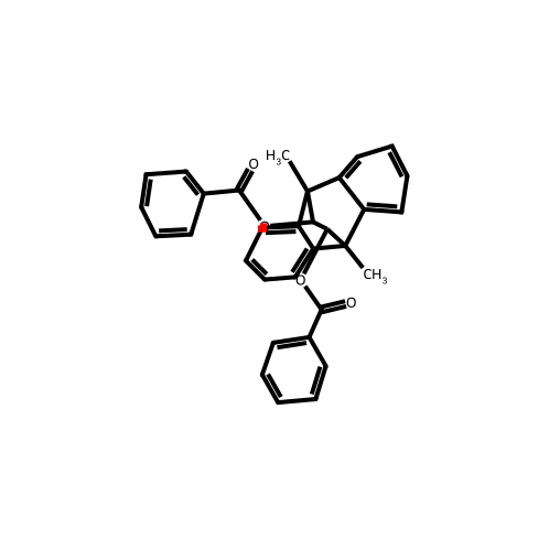 CC12c3ccccc3C(C)(c3ccccc31)C(OC(=O)c1ccccc1)C2OC(=O)c1ccccc1